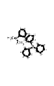 CP(C)c1ccccc1.c1ccc(P(c2ccccc2)c2ccccc2)cc1